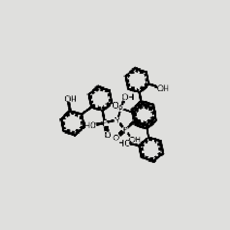 O=[P](O)(c1ccccc1-c1ccccc1O)[Y]([P](=O)(O)c1ccccc1-c1ccccc1O)[P](=O)(O)c1ccccc1-c1ccccc1O